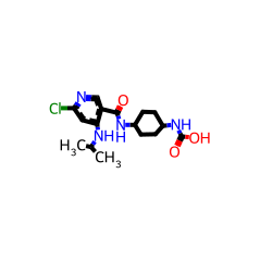 CC(C)Nc1cc(Cl)ncc1C(=O)NC1CCC(NC(=O)O)CC1